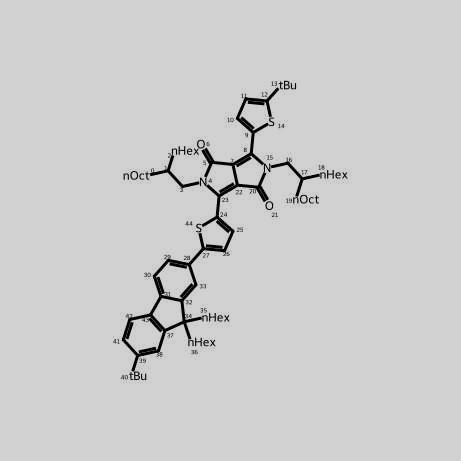 CCCCCCCCC(CCCCCC)CN1C(=O)C2=C(c3ccc(C(C)(C)C)s3)N(CC(CCCCCC)CCCCCCCC)C(=O)C2=C1c1ccc(-c2ccc3c(c2)C(CCCCCC)(CCCCCC)c2cc(C(C)(C)C)ccc2-3)s1